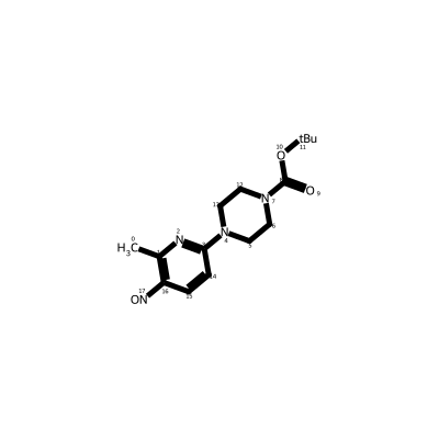 Cc1nc(N2CCN(C(=O)OC(C)(C)C)CC2)ccc1N=O